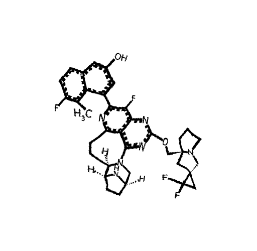 Cc1c(F)ccc2cc(O)cc(-c3nc4c5c(nc(OC[C@@]67CCCN6C[C@@]6(CC6(F)F)C7)nc5c3F)N3C[C@H]5CC[C@H](N5)[C@H]3CC4)c12